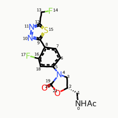 CC(=O)NC[C@H]1CN(c2ccc(-c3nnc(CF)s3)c(F)c2)C(=O)O1